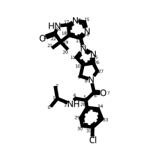 CC(C)NCC(C(=O)N1Cc2cn(-c3ncnc4c3C(C)(C)C(=O)N4)nc2C1)c1ccc(Cl)cc1